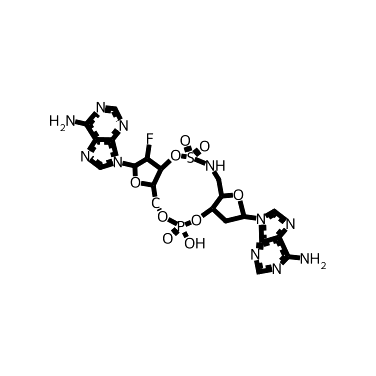 Nc1ncnc2c1ncn2C1CC2OP(=O)(O)OCC3OC(n4cnc5c(N)ncnc54)C(F)C3OS(=O)(=O)NCC2O1